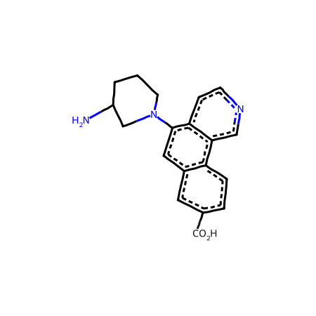 NC1CCCN(c2cc3cc(C(=O)O)ccc3c3cnccc23)C1